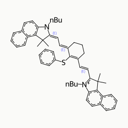 CCCCN1/C(=C/C=C2\CCCC(/C=C/C3=[N+](CCCC)c4ccc5ccccc5c4C3(C)C)=C2Sc2ccccc2)C(C)(C)c2c1ccc1ccccc21